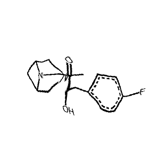 CN1CC2CC(C1)N2C(=O)C(O)c1ccc(F)cc1